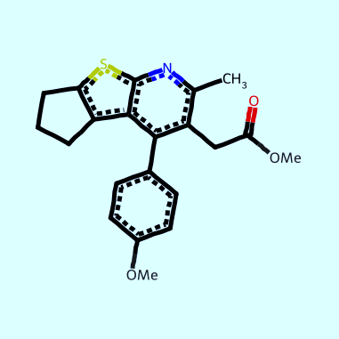 COC(=O)Cc1c(C)nc2sc3c(c2c1-c1ccc(OC)cc1)CCC3